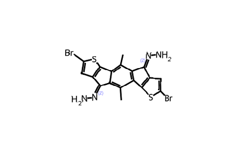 Cc1c2/c(=N/N)c3cc(Br)sc3c2c(C)c2/c(=N/N)c3cc(Br)sc3c12